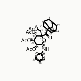 CC(=O)OC[C@@]1(C(=O)C23CC4CC(CC(C4)C2)C3)O[C@H](Nc2nccs2)[C@@H](OC(C)=O)[C@@H](OC(C)=O)[C@@H]1OC(C)=O